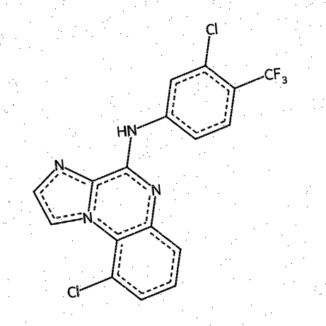 FC(F)(F)c1ccc(Nc2nc3cccc(Cl)c3n3ccnc23)cc1Cl